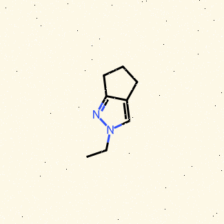 CCn1cc2c(n1)CCC2